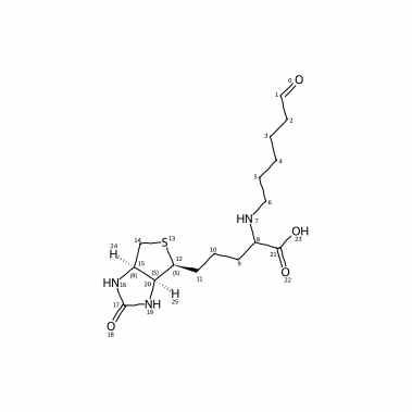 O=CCCCCCNC(CCC[C@@H]1SC[C@@H]2NC(=O)N[C@@H]21)C(=O)O